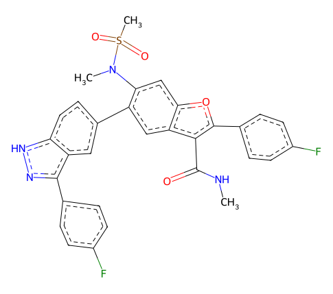 CNC(=O)c1c(-c2ccc(F)cc2)oc2cc(N(C)S(C)(=O)=O)c(-c3ccc4[nH]nc(-c5ccc(F)cc5)c4c3)cc12